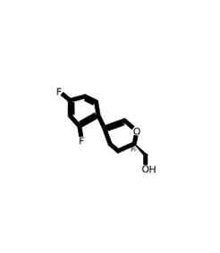 OC[C@H]1CCC(c2ccc(F)cc2F)=CO1